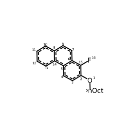 CCCCCCCCOc1ccc2c(ccc3ccccc32)c1F